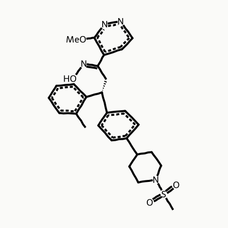 COc1nnccc1/C(C[C@H](c1ccc(C2CCN(S(C)(=O)=O)CC2)cc1)c1ccccc1C)=N/O